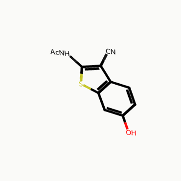 CC(=O)Nc1sc2cc(O)ccc2c1C#N